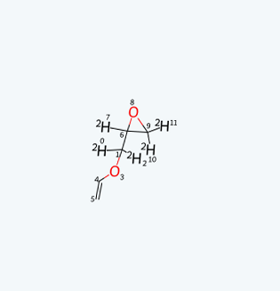 [2H]C([2H])(OC=C)C1([2H])OC1([2H])[2H]